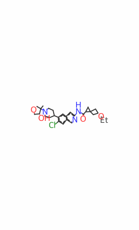 CCOC1CC2(C1)CC2C(=O)Nc1cc2cc(C3CCN(C4(C)COCC4O)CC3)c(Cl)cc2cn1